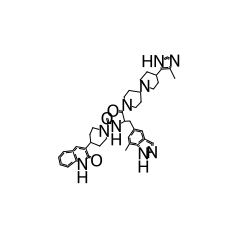 Cc1nc[nH]c1C1CCN(C2CCN(C(=O)C(Cc3cc(C)c4[nH]ncc4c3)NC(=O)N3CCC(c4cc5ccccc5[nH]c4=O)CC3)CC2)CC1